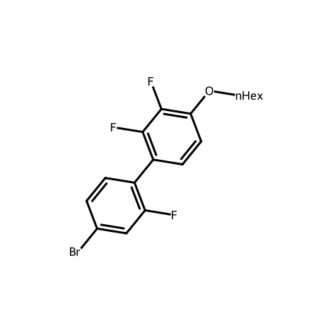 CCCCCCOc1ccc(-c2ccc(Br)cc2F)c(F)c1F